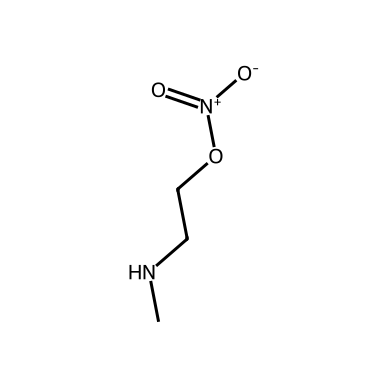 CNCCO[N+](=O)[O-]